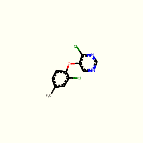 FC(F)(F)c1ccc(Oc2cncnc2Cl)c(Cl)c1